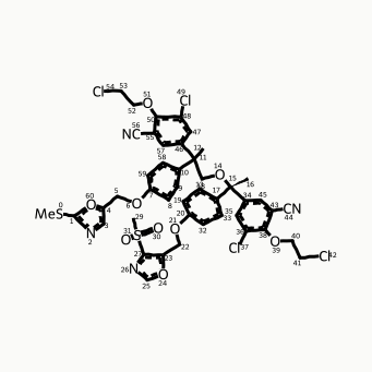 CSc1ncc(COc2ccc(C(C)(CO[C@@](C)(c3ccc(OCc4ocnc4S(C)(=O)=O)cc3)c3cc(Cl)c(OCCCl)c(C#N)c3)c3cc(Cl)c(OCCCl)c(C#N)c3)cc2)o1